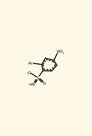 CC(=O)c1cc([N+](=O)[O-])ccc1S(=N)(=O)Cl